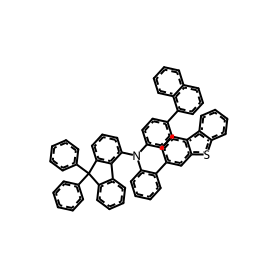 c1ccc(C2(c3ccccc3)c3ccccc3-c3c(N(c4ccc(-c5cccc6ccccc56)cc4)c4ccccc4-c4ccc5c(c4)sc4ccccc45)cccc32)cc1